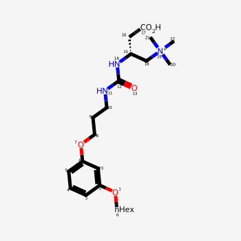 CCCCCCOc1cccc(OCCCNC(=O)N[C@H](CC(=O)O)C[N+](C)(C)C)c1